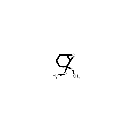 COC1(OC)CCCC2OC21